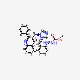 COC(=O)NNc1ccccc1C(=O)c1c(Cn2ncnn2)c(-c2ccccc2)nc2ccccc12